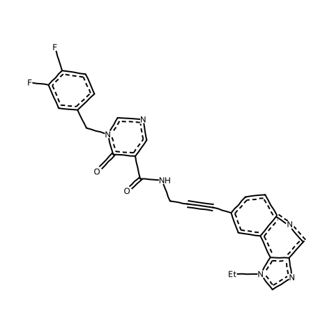 CCn1cnc2cnc3ccc(C#CCNC(=O)c4cncn(Cc5ccc(F)c(F)c5)c4=O)cc3c21